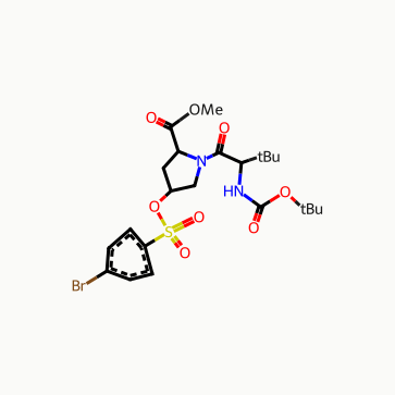 COC(=O)C1CC(OS(=O)(=O)c2ccc(Br)cc2)CN1C(=O)C(NC(=O)OC(C)(C)C)C(C)(C)C